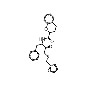 O=C(CSCc1ccco1)C(Cc1ccccc1)NC(=O)C1CCc2ccccc2O1